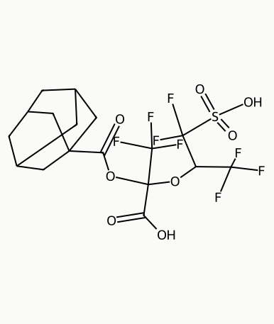 O=C(OC(OC(C(F)(F)F)C(F)(F)S(=O)(=O)O)(C(=O)O)C(F)(F)F)C12CC3CC(CC(C3)C1)C2